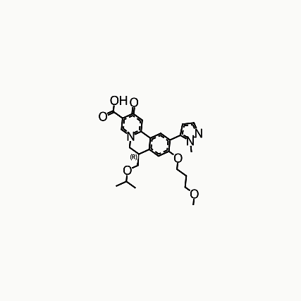 COCCCOc1cc2c(cc1-c1ccnn1C)-c1cc(=O)c(C(=O)O)cn1C[C@@H]2COC(C)C